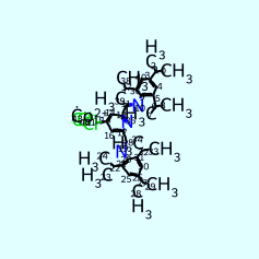 CC(C)c1cc(C(C)C)c(N=Cc2cc(Cl)cc(C=Nc3c(C(C)C)cc(C(C)C)cc3C(C)C)n2)c(C(C)C)c1.[Cl-].[Cl-].[Co+2]